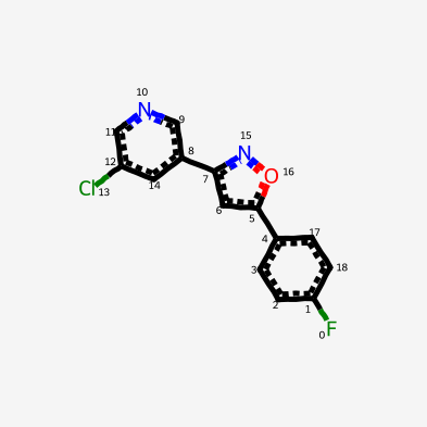 Fc1ccc(-c2cc(-c3cncc(Cl)c3)no2)cc1